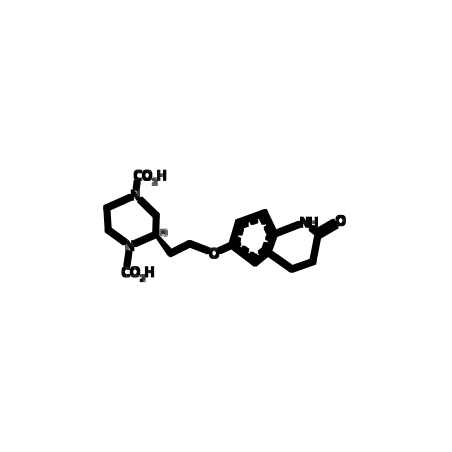 O=C1CCc2cc(OCC[C@@H]3CN(C(=O)O)CCN3C(=O)O)ccc2N1